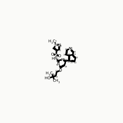 Cn1cc(S(=O)(=O)Nc2nc(OCCC(C)(C)O)cc(-c3cccc4cnccc34)n2)cn1